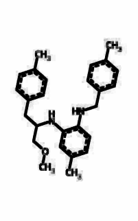 COCC(Cc1ccc(C)cc1)Nc1cc(C)ccc1NCc1ccc(C)cc1